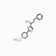 O=C(O)N1CCC(c2nc(C(O)CCc3ccccc3)cs2)CC1